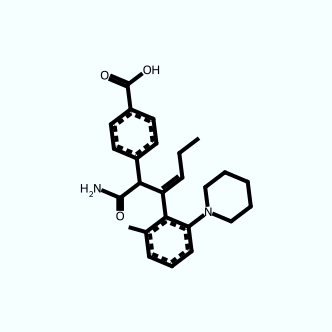 CCC=C(c1c(C)cccc1N1CCCCC1)C(C(N)=O)c1ccc(C(=O)O)cc1